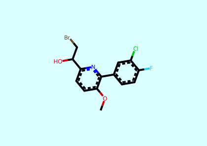 COc1ccc(C(O)CBr)nc1-c1ccc(F)c(Cl)c1